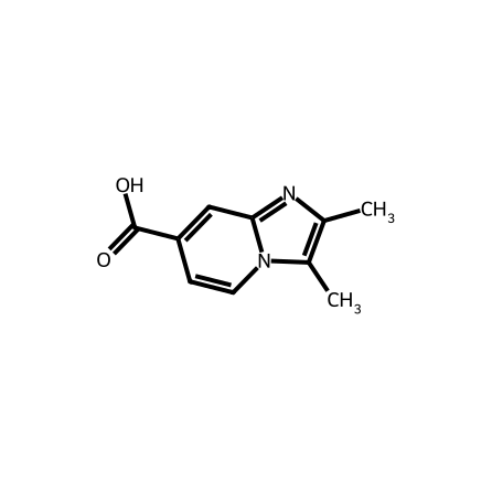 Cc1nc2cc(C(=O)O)ccn2c1C